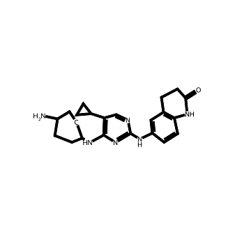 NC1CCC(Nc2nc(Nc3ccc4c(c3)CCC(=O)N4)ncc2C2CC2)CC1